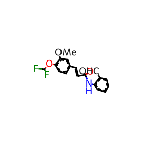 COc1cc(/C=C/C(=O)Nc2ccccc2C=O)ccc1OC(F)F